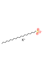 CCCCCCCCCCCCCCCCCCCCS(=O)(=O)[O-].[K+]